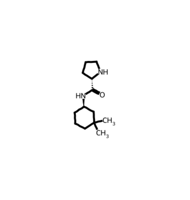 CC1(C)CCC[C@@H](NC(=O)[C@@H]2CCCN2)C1